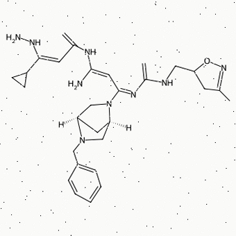 C=C(/C=C(\NN)C1CC1)N/C(N)=C/C(=N\C(=C)NCC1CC(C)=NO1)N1C[C@H]2C[C@@H]1CN2Cc1ccccc1